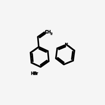 Br.C=Cc1ccccc1.c1ccncc1